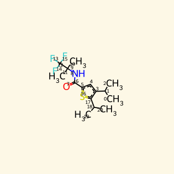 CC(C)c1cc(C(=O)NC(C)(C)C(F)(F)F)sc1C(C)C